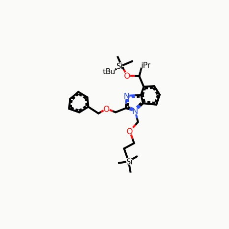 CC(C)C(O[Si](C)(C)C(C)(C)C)c1cccc2c1nc(COCc1ccccc1)n2COCC[Si](C)(C)C